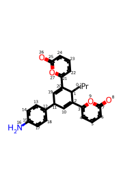 CC(C)C1C(c2cccc(=O)o2)=CC(c2ccc(N)cc2)C=C1c1cccc(=O)o1